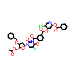 CC(=O)OC[C@H]1O[C@@H](n2cc(F)c(=O)n(C(=O)c3cccc(C(=O)Oc4cc(OC(=O)c5ccccc5)ncc4Cl)c3)c2=O)C[C@@H]1OCc1ccccc1